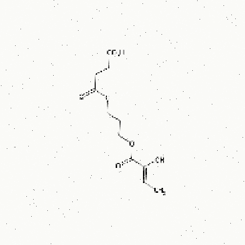 CC=C(O)C(=O)OCCCOC(=O)CCC(=O)O